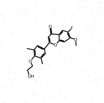 COc1cc2oc(-c3cc(C)c(OCCO)c(C)c3)cc(=O)c2cc1F